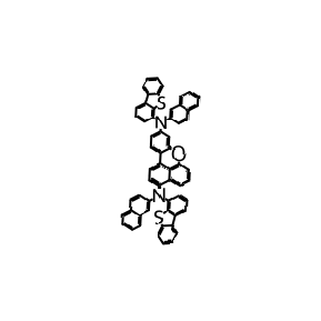 c1ccc2cc(N(c3ccc4c(c3)Oc3cccc5c(N(c6ccc7ccccc7c6)c6cccc7c6sc6ccccc67)ccc-4c35)c3cccc4c3sc3ccccc34)ccc2c1